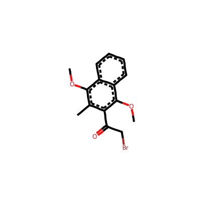 COc1c(C)c(C(=O)CBr)c(OC)c2ccccc12